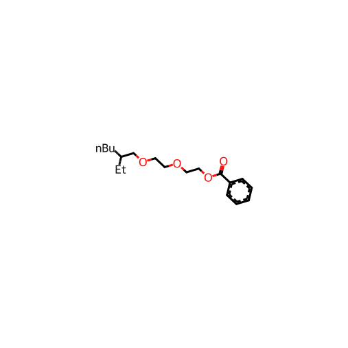 CCCCC(CC)COCCOCCOC(=O)c1ccccc1